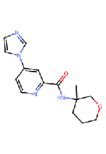 CC1(NC(=O)c2cc(-n3ccnc3)ccn2)CCCOC1